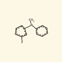 CN(c1ccccc1)c1cc[c]c(F)c1